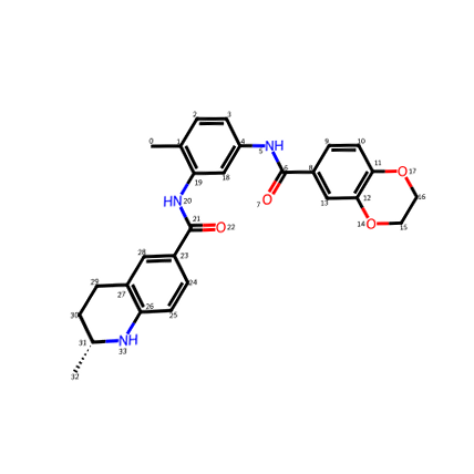 Cc1ccc(NC(=O)c2ccc3c(c2)OCCO3)cc1NC(=O)c1ccc2c(c1)CC[C@@H](C)N2